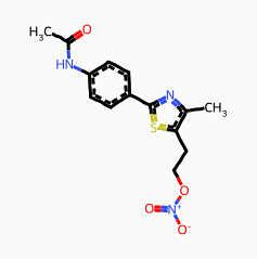 CC(=O)Nc1ccc(-c2nc(C)c(CCO[N+](=O)[O-])s2)cc1